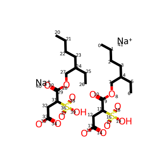 CCCCC(CC)COC(=O)C(CC(=O)[O-])S(=O)(=O)O.CCCCC(CC)COC(=O)C(CC(=O)[O-])S(=O)(=O)O.[Na+].[Na+]